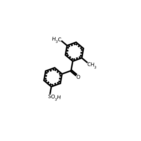 Cc1ccc(C)c(C(=O)c2cccc(S(=O)(=O)O)c2)c1